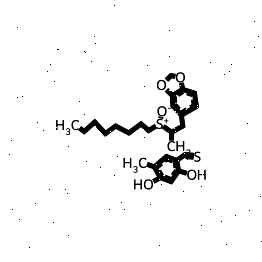 CCCCCCCC[S+]([O-])C(C)Cc1ccc2c(c1)OCO2.Cc1cc(C=S)c(O)cc1O